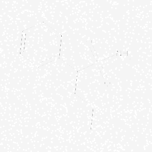 CCCC(c1ccccc1)S(N)(=O)=O